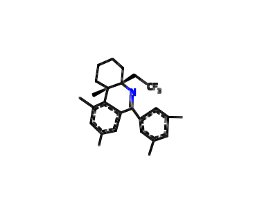 Cc1cc(C)cc(C2=N[C@@]3(CC(F)(F)F)CCCC[C@@]3(C)c3c(C)cc(C)cc32)c1